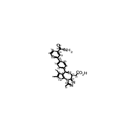 Cc1sc2c(c1C)C(c1ccc(-c3cc(C(N)=O)ccn3)cc1)=N[C@@H](CC(=O)O)c1nnc(C)n1-2